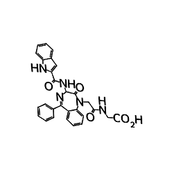 O=C(O)CNC(=O)CN1C(=O)C(NC(=O)c2cc3ccccc3[nH]2)N=C(c2ccccc2)c2ccccc21